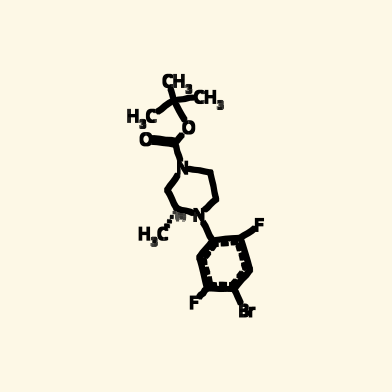 C[C@@H]1CN(C(=O)OC(C)(C)C)CCN1c1cc(F)c(Br)cc1F